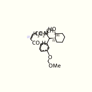 COCOc1cccc(C([C@@H]2CCCC[C@H]2O)N(C)C)c1.O=C(O)/C=C\C(=O)O